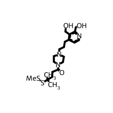 CSSC(C)(C)CCC(=O)N1CCN(CCCc2ccnc(CO)c2CO)CC1